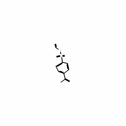 O=CNS(=O)(=O)c1ccc(C(=O)O)cc1